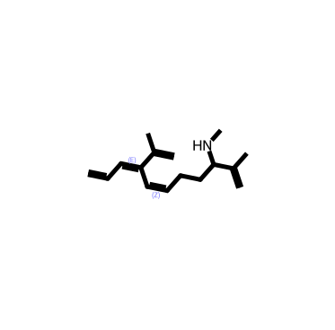 C=C/C=C(\C=C/CCC(NC)C(=C)C)C(=C)C